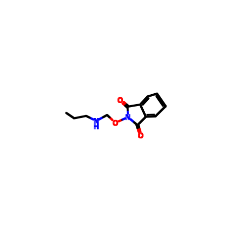 CCCNCON1C(=O)c2ccccc2C1=O